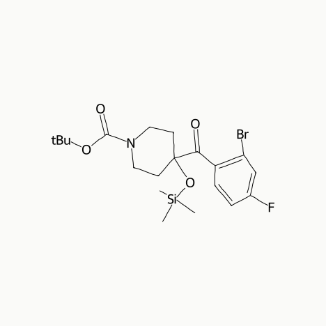 CC(C)(C)OC(=O)N1CCC(O[Si](C)(C)C)(C(=O)c2ccc(F)cc2Br)CC1